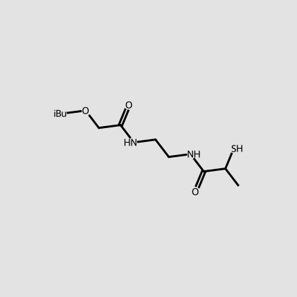 CCC(C)OCC(=O)NCCNC(=O)C(C)S